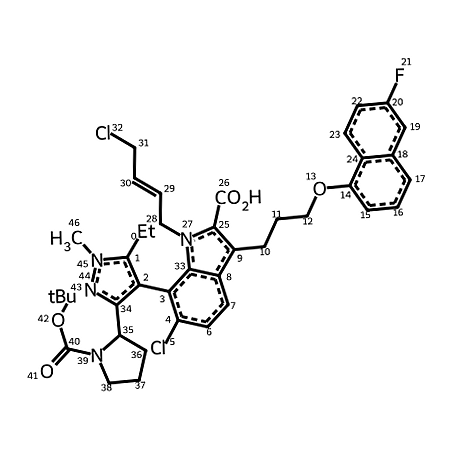 CCc1c(-c2c(Cl)ccc3c(CCCOc4cccc5cc(F)ccc45)c(C(=O)O)n(CC=CCCl)c23)c(C2CCCN2C(=O)OC(C)(C)C)nn1C